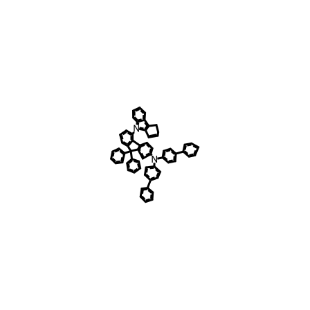 C1=Cc2c(c3ccccc3n2-c2cccc3c2-c2ccc(N(c4ccc(-c5ccccc5)cc4)c4ccc(-c5ccccc5)cc4)cc2C3(c2ccccc2)c2ccccc2)CC1